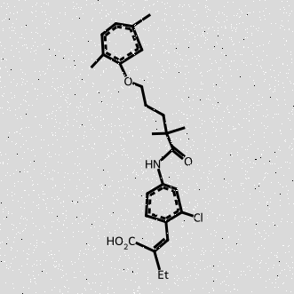 CCC(=Cc1ccc(NC(=O)C(C)(C)CCCOc2cc(C)ccc2C)cc1Cl)C(=O)O